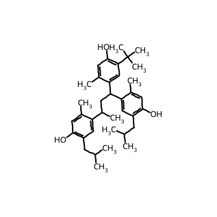 Cc1cc(O)c(CC(C)C)cc1C(C)CC(c1cc(CC(C)C)c(O)cc1C)c1cc(C(C)(C)C)c(O)cc1C